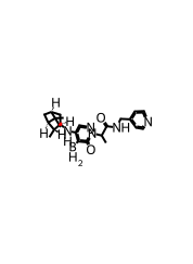 Bc1c(N[C@@H]2C[C@@H]3C[C@H]([C@H]2C)C3(C)C)cnn(C(C)C(=O)NCc2ccncc2)c1=O